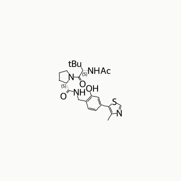 CC(=O)N[C@H](C(=O)N1CCC[C@H]1C(=O)NCc1ccc(-c2scnc2C)cc1O)C(C)(C)C